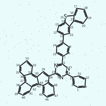 c1ccc(-c2nc(-c3ccc(-c4ccc5sc6ccccc6c5c4)cc3)nc(-c3cc4c5ccccc5c5ccccc5c4c4ccccc34)n2)cc1